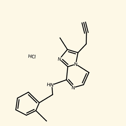 C#CCc1c(C)nc2c(NCc3ccccc3C)nccn12.Cl